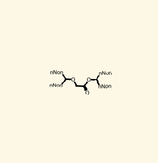 CCCCCCCCCC(CCCCCCCCC)OCC(=O)OC(CCCCCCCCC)CCCCCCCCC